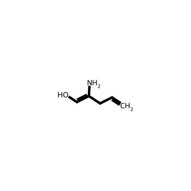 C=CC/C(N)=C/O